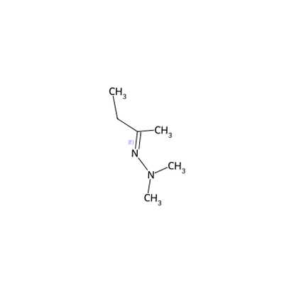 CC/C(C)=N/N(C)C